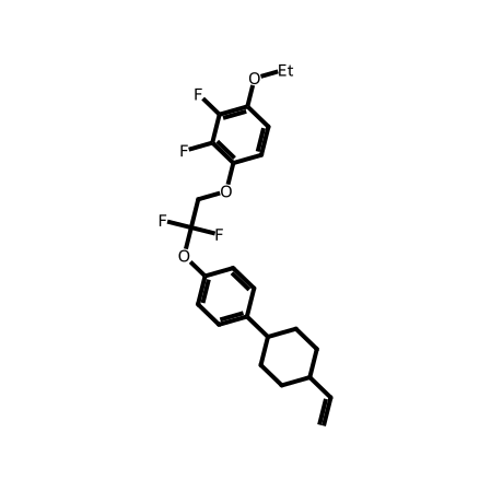 C=CC1CCC(c2ccc(OC(F)(F)COc3ccc(OCC)c(F)c3F)cc2)CC1